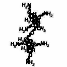 C[C@H](CCCOCCC[C@@H](C)[C@H]1CC[C@H]2[C@@H]3[C@H](OCCCN)C[C@@H]4C[C@H](OCCCN)CC[C@]4(C)[C@H]3C[C@H](OCCCN)[C@]12C)[C@H]1CC[C@@H]2[C@@H]1[C@@H](OCCCN)C[C@H]1[C@H]2[C@@H](OCCCN)C[C@@H]2C[C@H](OCCCN)CC[C@@]21C